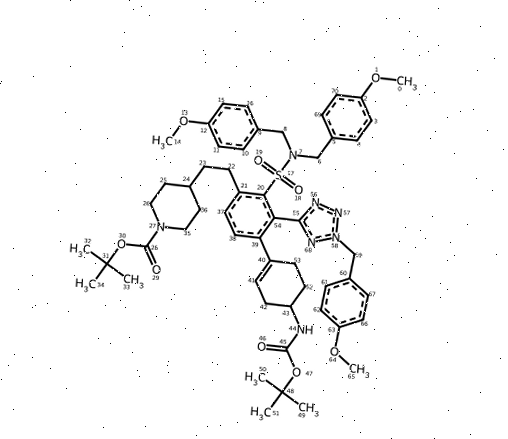 COc1ccc(CN(Cc2ccc(OC)cc2)S(=O)(=O)c2c(CCC3CCN(C(=O)OC(C)(C)C)CC3)ccc(C3=CCC(NC(=O)OC(C)(C)C)CC3)c2-c2nnn(Cc3ccc(OC)cc3)n2)cc1